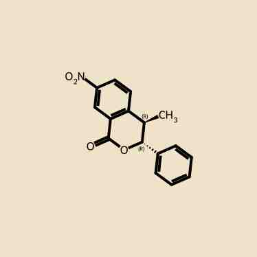 C[C@@H]1c2ccc([N+](=O)[O-])cc2C(=O)O[C@H]1c1ccccc1